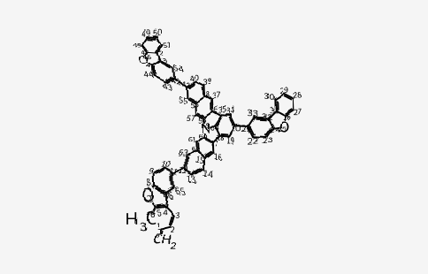 C=C/C=C\c1c(C)oc2ccc(-c3ccc4cc5c6cc(-c7ccc8oc9ccccc9c8c7)cc7c8cc9ccc(-c%10ccc%11oc%12ccccc%12c%11c%10)cc9cc8n(c5cc4c3)c67)cc12